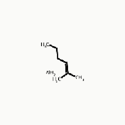 CCCC=C(C)C.[AlH3]